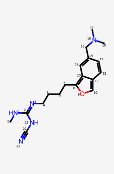 CNC(=NCCCCc1occ2ccc(CN(C)C)cc12)NC#N